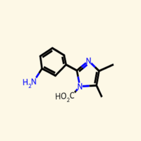 Cc1nc(-c2cccc(N)c2)n(C(=O)O)c1C